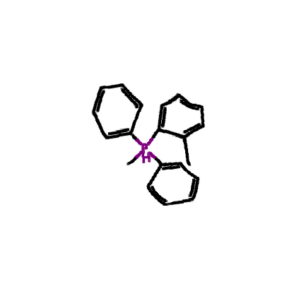 Cc1ccccc1[PH](C)(c1ccccc1)c1ccccc1